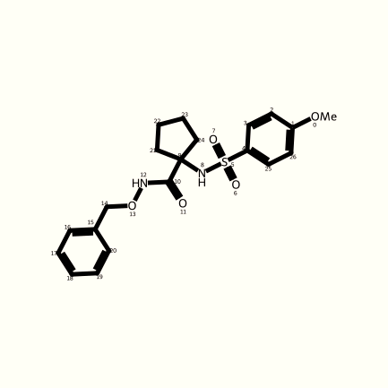 COc1ccc(S(=O)(=O)NC2(C(=O)NOCc3ccccc3)CCCC2)cc1